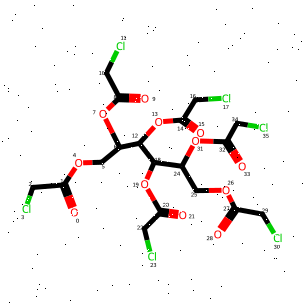 O=C(CCl)OCC(OC(=O)CCl)C(OC(=O)CCl)C(OC(=O)CCl)C(COC(=O)CCl)OC(=O)CCl